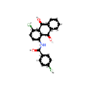 O=C(Nc1ccc(Cl)c2c1C(=O)c1ccccc1C2=O)c1ccc(Cl)cc1